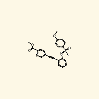 COC(=O)c1ccc(C#Cc2ccccc2N=S(C)(=O)c2ccc(OC)cc2)cn1